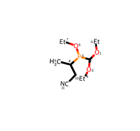 CCOC(OCC)P(OCC)C(C)CC#N